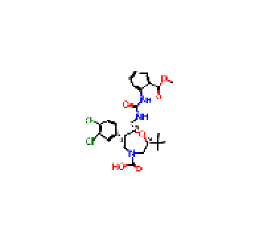 COC(=O)c1ccccc1NC(=O)NC[C@@H]1O[C@@H](C(C)(C)C)CN(C(=O)O)C[C@@H]1c1ccc(Cl)c(Cl)c1